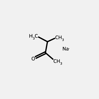 CC(=O)C(C)C.[Na]